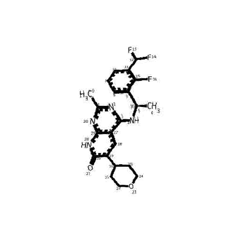 Cc1nc(N[C@H](C)c2cccc(C(F)F)c2F)c2cc(C3CCOCC3)c(=O)[nH]c2n1